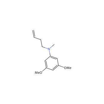 C=CCCN(C)c1cc(OC)cc(OC)c1